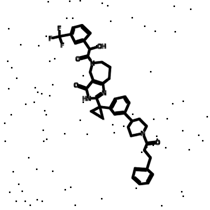 O=C(CCc1ccccc1)N1CCC(c2cccc(C3(c4nc5c(c(=O)[nH]4)CN(C(=O)C(O)c4cccc(C(F)(F)F)c4)CCC5)CC3)c2)CC1